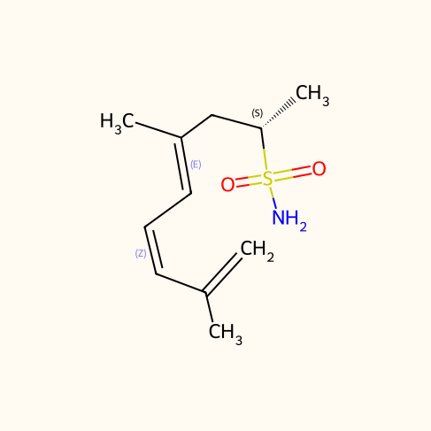 C=C(C)/C=C\C=C(/C)C[C@H](C)S(N)(=O)=O